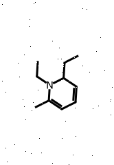 CCC1C=CC=C(C)N1CC